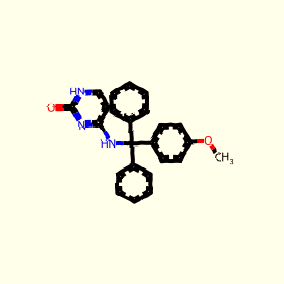 COc1ccc(C(Nc2cc[nH]c(=O)n2)(c2ccccc2)c2ccccc2)cc1